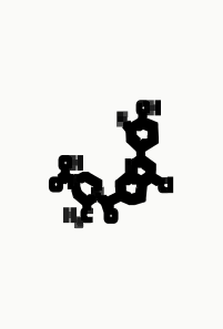 CC1CN(C(=O)O)CCN1C(=O)c1ccc2c(Cl)cc(-c3ccc(O)c(F)c3)nc2c1